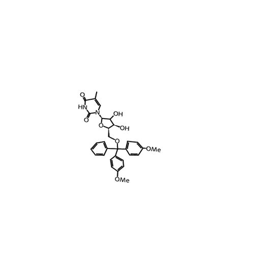 COc1ccc(C(OC[C@H]2O[C@@H](n3cc(C)c(=O)[nH]c3=O)C(O)[C@H]2O)(c2ccccc2)c2ccc(OC)cc2)cc1